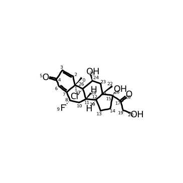 C[C@]12C=CC(=O)C=C1[C@@H](F)C[C@H]1[C@@H]3CC[C@](O)(C(=O)CO)[C@@]3(C)C[C@H](O)[C@@]12Cl